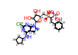 O=P(O)(O)C(Cc1ccccc1)S(=O)(=O)C[C@H]1O[C@@H](n2ncc3c(NC4CCCC4)nc(Cl)nc32)[C@H](O)[C@@H]1O